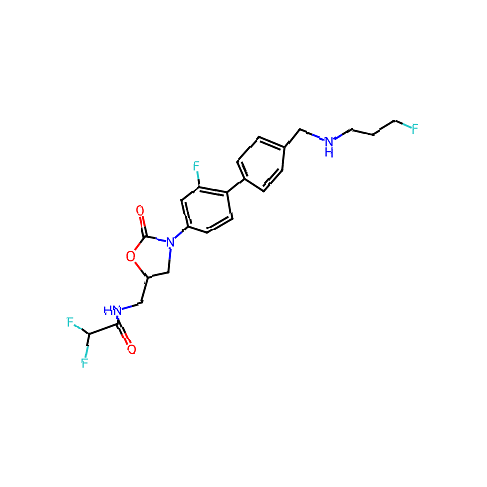 O=C(NCC1CN(c2ccc(-c3ccc(CNCCCF)cc3)c(F)c2)C(=O)O1)C(F)F